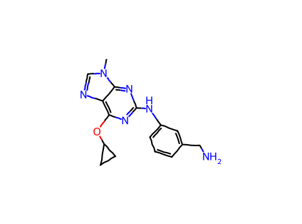 Cn1cnc2c(OC3CC3)nc(Nc3cccc(CN)c3)nc21